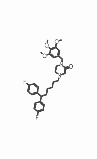 COc1cc(CN2CCN(CCCCCC(c3ccc(F)cc3)c3ccc(F)cc3)CC2=O)cc(OC)c1OC